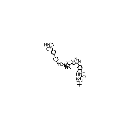 Cc1cc(-c2ncnc3[nH]c(-c4c(C)nn(C5CN(CC6CCN(c7ccc(N8CCCNC8=O)cc7)CC6)C5)c4C)cc23)ccc1[C@@H](C)NC(=O)c1nc(C(C)(C)C)no1